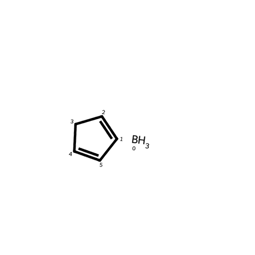 B.C1=CCC=C1